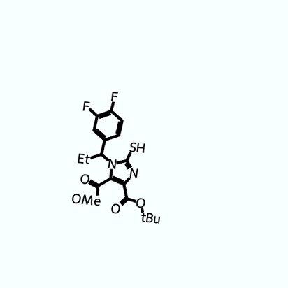 CCC(c1ccc(F)c(F)c1)n1c(S)nc(C(=O)OC(C)(C)C)c1C(=O)OC